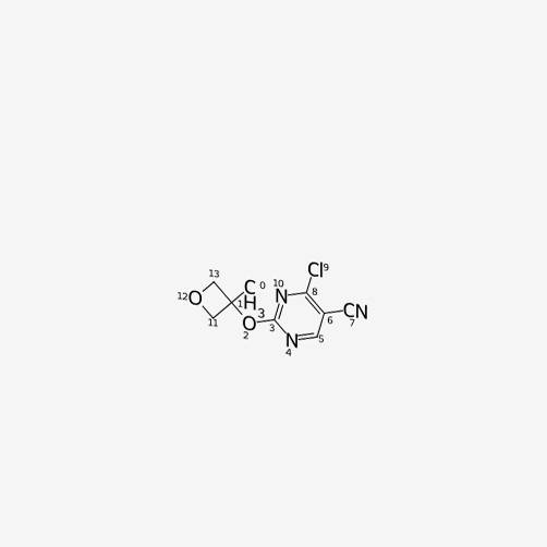 CC1(Oc2ncc(C#N)c(Cl)n2)COC1